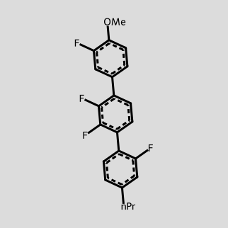 CCCc1ccc(-c2ccc(-c3ccc(OC)c(F)c3)c(F)c2F)c(F)c1